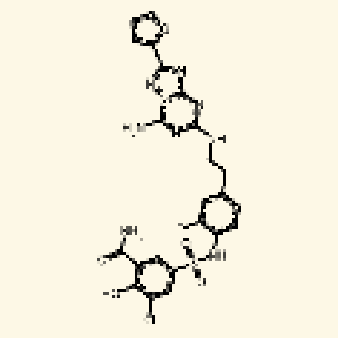 NC(=O)c1cc(S(=O)(=O)Nc2ccc(CCNc3nc(N)n4nc(-c5ccco5)nc4n3)cc2F)cc(Cl)c1O